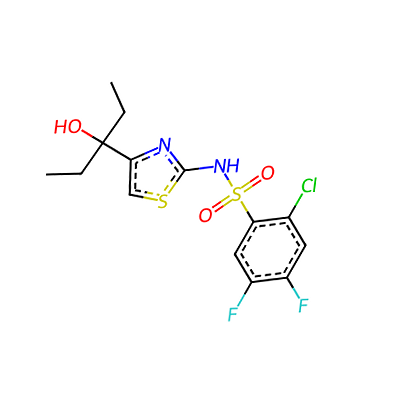 CCC(O)(CC)c1csc(NS(=O)(=O)c2cc(F)c(F)cc2Cl)n1